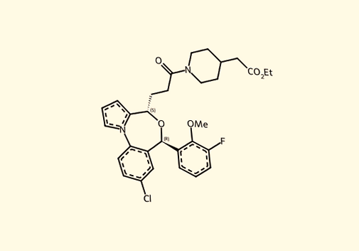 CCOC(=O)CC1CCN(C(=O)CC[C@@H]2O[C@@H](c3cccc(F)c3OC)c3cc(Cl)ccc3-n3cccc32)CC1